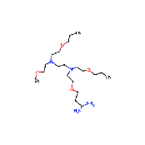 CCCOCCN(CCOCCC#N)CCN(CCOCCC#N)CCOCCC(N)N